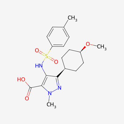 CO[C@H]1CC[C@@H](c2nn(C)c(C(=O)O)c2NS(=O)(=O)c2ccc(C)cc2)CC1